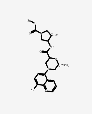 C[C@@H]1CN(c2ccc(C#N)c3ncccc23)CC(C(=O)NC2CN(C(=O)OC(C)(C)C)C[C@@H]2F)O1